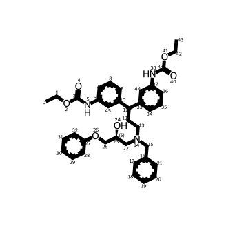 CCOC(=O)Nc1cccc(C(CCN(Cc2ccccc2)C[C@H](O)COc2ccccc2)c2cccc(NC(=O)OCC)c2)c1